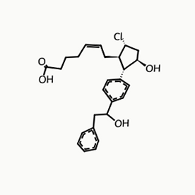 O=C(O)CCC/C=C\C[C@@H]1[C@@H](c2ccc(C(O)Cc3ccccc3)cc2)[C@H](O)C[C@H]1Cl